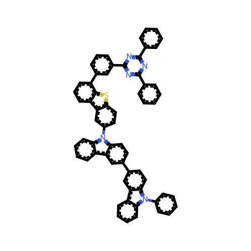 c1ccc(-c2nc(-c3ccccc3)nc(-c3cccc(-c4cccc5c4sc4ccc(-n6c7ccccc7c7cc(-c8ccc9c(c8)c8ccccc8n9-c8ccccc8)ccc76)cc45)c3)n2)cc1